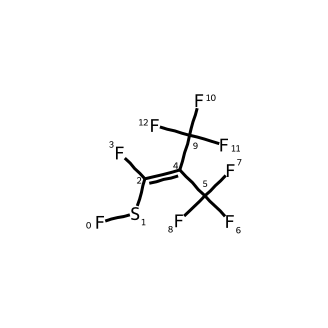 FSC(F)=C(C(F)(F)F)C(F)(F)F